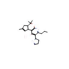 CCCc1nc2c(c(O)c1C1CCC=N1)C1C=C(C)CC1C(C)(C)O2